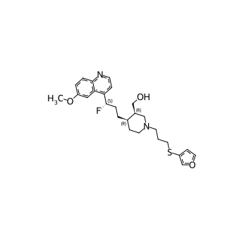 COc1ccc2nccc([C@@H](F)CC[C@@H]3CCN(CCCSc4ccoc4)C[C@@H]3CO)c2c1